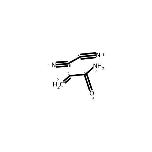 C=CC(N)=O.N#CC#N